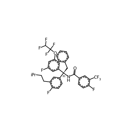 CC(C)CCc1cc([C@@](Cc2ccccc2)(NC(=O)c2ccc(F)c(C(F)(F)F)c2)c2cc(F)cc(OC(F)(F)C(F)F)c2)ccc1F